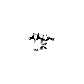 CC(C)C[CH]C(N)(O[Si](C)(C)C(C)(C)C)c1noc(=S)[nH]1.Cl